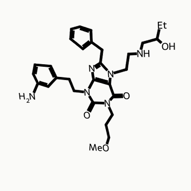 CCC(O)CNCCn1c(Cc2ccccc2)nc2c1c(=O)n(CCCOC)c(=O)n2CCc1cccc(N)c1